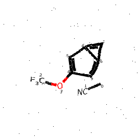 CC#N.FC(F)(F)Oc1cc2cc-2c1